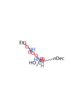 CCCCCCCCCCCCCCCCCC(=O)NC(C(=O)O)C(=O)NCCOCCOCC(=O)NCCOCCOCC